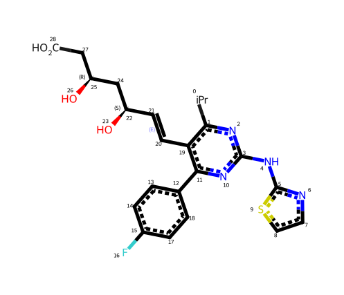 CC(C)c1nc(Nc2nccs2)nc(-c2ccc(F)cc2)c1/C=C/[C@@H](O)C[C@@H](O)CC(=O)O